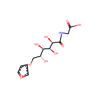 O=C(O)CNC(=O)[C@H](O)[C@@H](O)[C@H](O)[C@H](O)CO.c1ccoc1